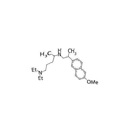 CCN(CC)CCCC(C)NCC(C)c1ccc2cc(OC)ccc2c1